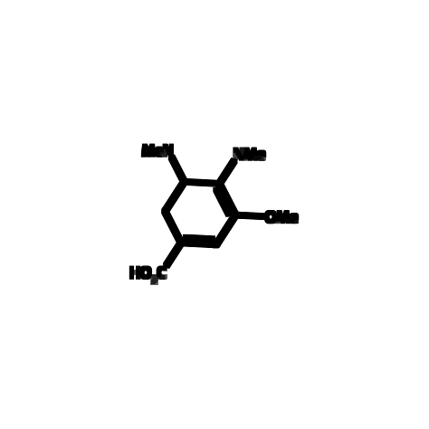 CNC1=C(OC)C=C(C(=O)O)CC1NC